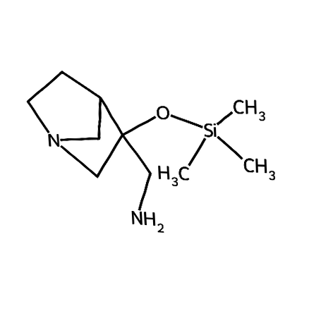 C[Si](C)(C)OC1(CN)CN2CCC1C2